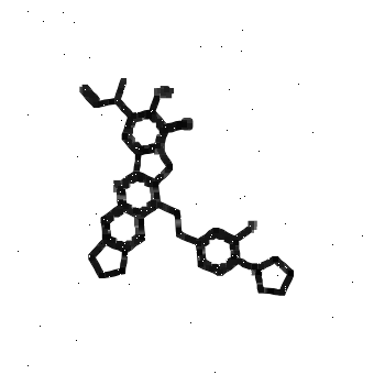 C=CC(C)c1cc2n(c(=O)c1CCC)Cc1c-2nc2cc3c(cc2c1CCc1ccc(N2CCCC2)c(F)c1)CCC3